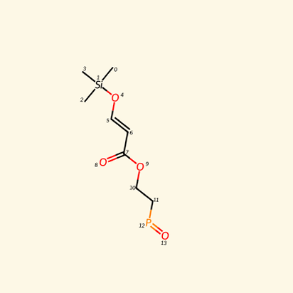 C[Si](C)(C)OC=CC(=O)OCCP=O